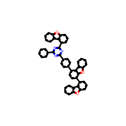 c1ccc(-c2nc(-c3ccc(-c4ccc(-c5cccc6oc7ccccc7c56)c5oc6ccccc6c45)cc3)nc(-c3cccc4oc5ccccc5c34)n2)cc1